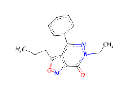 CCCc1onc2c(=O)n(CC)nc(-c3ccccc3)c12